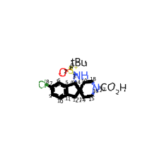 CC(C)(C)[S+]([O-])N[C@H]1c2cc(Cl)ccc2CC12CCN(C(=O)O)CC2